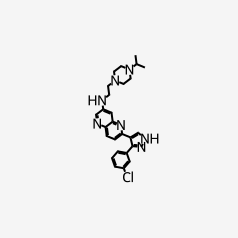 CC(C)N1CCN(CCNc2cnc3ccc(-c4c[nH]nc4-c4cccc(Cl)c4)nc3c2)CC1